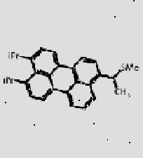 CSC(C)c1ccc2c3ccc(C(C)C)c4c(C(C)C)ccc(c5cccc1c52)c43